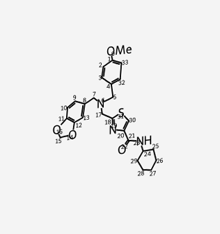 COc1ccc(CN(Cc2ccc3c(c2)OCO3)Cc2nc(C(=O)NC3CCCCC3)cs2)cc1